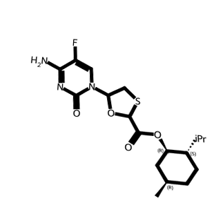 CC(C)[C@@H]1CC[C@@H](C)C[C@H]1OC(=O)C1OC(n2cc(F)c(N)nc2=O)CS1